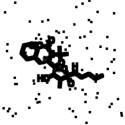 CCCCNS(=O)(=O)C(C)C(O)[C@@H]1OC(C)(C)N(C(=O)O)[C@H]1CC1CCCCC1